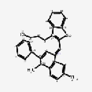 Cc1ccc2c(c1)/C(=C/c1sc3ccccc3[n+]1CCCO)C=C(c1ccccc1)N2C